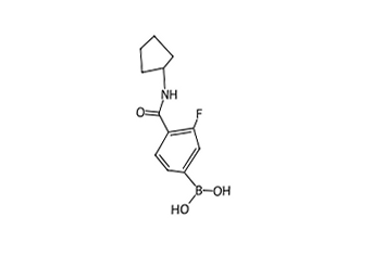 O=C(NC1CCCC1)c1ccc(B(O)O)cc1F